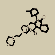 Cc1cccc(-n2c(CN3CCN(CCN4CCOCC4)CC3)c(C(=O)O)c3ccccc3c2=O)c1